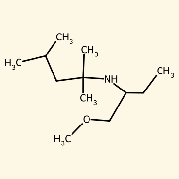 CCC(COC)NC(C)(C)CC(C)C